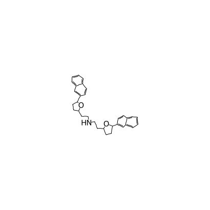 c1ccc2cc(C3CCC(CCNCCC4CCC(c5ccc6ccccc6c5)O4)O3)ccc2c1